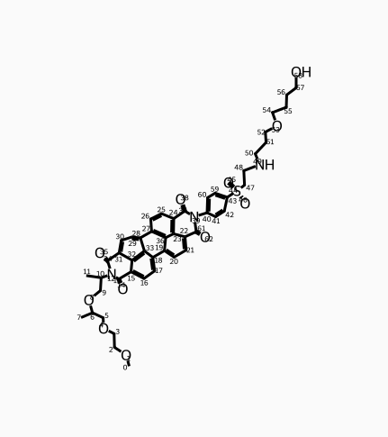 COCCOCC(C)OCC(C)N1C(=O)c2ccc3c4ccc5c6c(ccc(c7ccc(c2c37)C1=O)c64)C(=O)N(c1ccc(S(=O)(=O)CCNCCCOCCCCO)cc1)C5=O